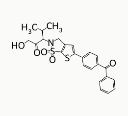 CC(C)[C@H](C(=O)CO)N1Cc2cc(-c3ccc(C(=O)c4ccccc4)cc3)sc2S1(=O)=O